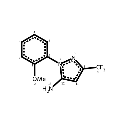 COc1ccccc1-n1nc(C(F)(F)F)cc1N